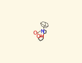 O=C(O)Cn1c(-c2ccccc2)ccc1C12CC3CC(CC(C3)C1)C2